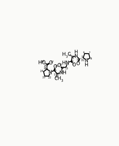 C[C@H](NC(=O)[C@@H]1CCCN1)C(=O)NCC(=O)N[C@@H](C)C(=O)N1CCC[C@H]1C(=O)O